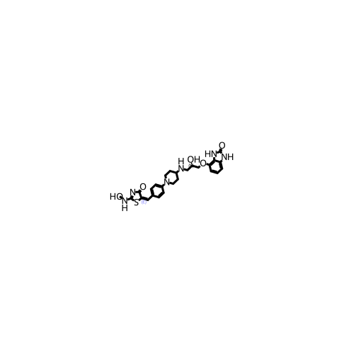 O=C1N=C(NO)S/C1=C/c1ccc(N2CCC(NC[C@H](O)COc3cccc4[nH]c(=O)[nH]c34)CC2)cc1